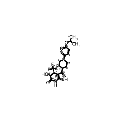 CC(C)Oc1ccc(N2CCC(c3n[nH]c4c3[C@H](C(F)(F)F)[C@H](O)C(=O)N4)CC2)nn1